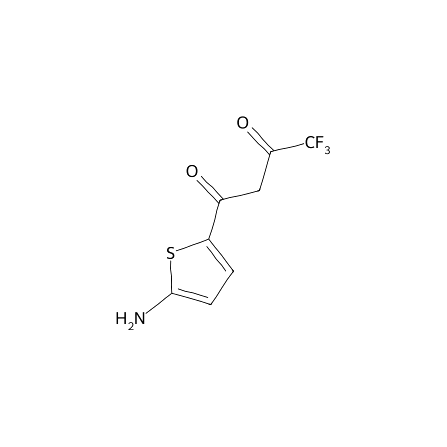 Nc1ccc(C(=O)CC(=O)C(F)(F)F)s1